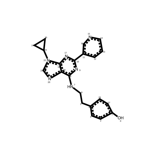 Oc1ccc(CCNc2nc(-c3cccnc3)nc3c2ncn3C2CC2)cc1